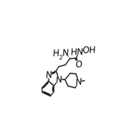 CN1CCC(n2c(CC[C@H](N)C(=O)NO)nc3ccccc32)CC1